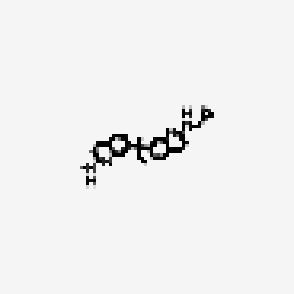 [CH2]C(CC)(c1ccc2ccc(NC)nc2c1)c1ccc2ccc(NCC3CC3)nc2c1